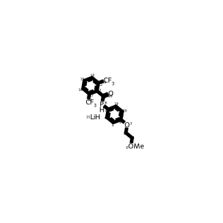 COCCOc1ccc(PC(=O)c2c(C(F)(F)F)cccc2C(F)(F)F)cc1.[LiH]